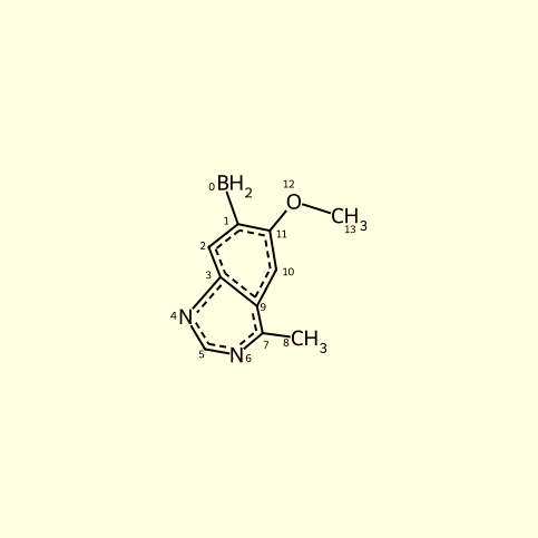 Bc1cc2ncnc(C)c2cc1OC